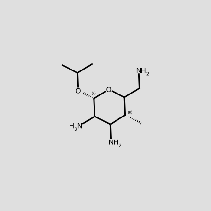 CC(C)O[C@@H]1OC(CN)[C@H](C)C(N)C1N